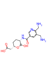 NCc1cc(C(=O)N[C@H]2CC[C@@H](CC(=O)O)OB2O)cnc1CN